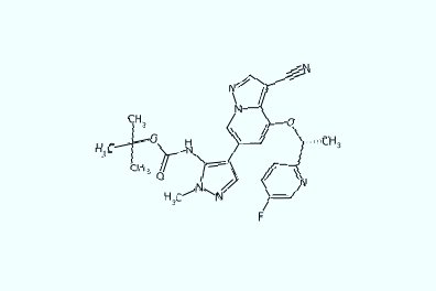 C[C@@H](Oc1cc(-c2cnn(C)c2NC(=O)OC(C)(C)C)cn2ncc(C#N)c12)c1ccc(F)cn1